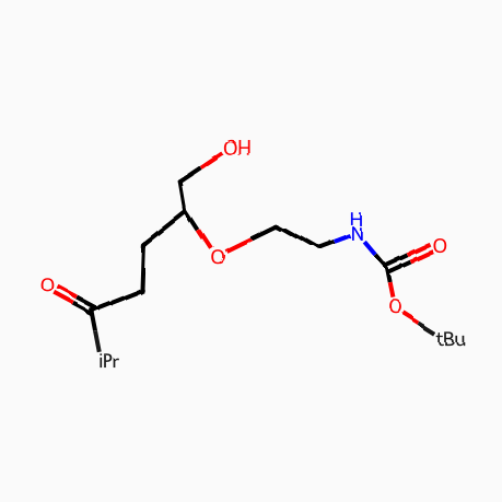 CC(C)C(=O)CCC(CO)OCCNC(=O)OC(C)(C)C